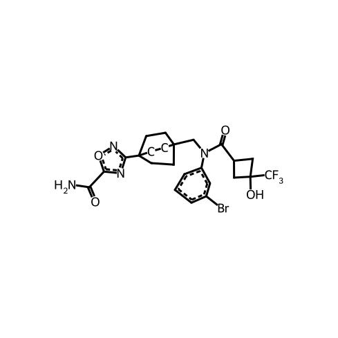 NC(=O)c1nc(C23CCC(CN(C(=O)C4CC(O)(C(F)(F)F)C4)c4cccc(Br)c4)(CC2)CC3)no1